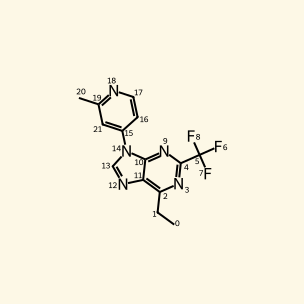 CCc1nc(C(F)(F)F)nc2c1ncn2-c1ccnc(C)c1